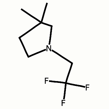 CC1(C)CCN(CC(F)(F)F)C1